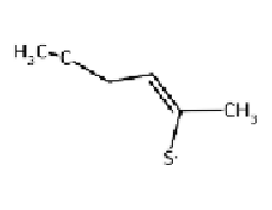 CCCC=C(C)[S]